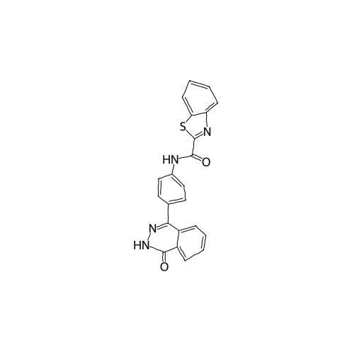 O=C(Nc1ccc(-c2n[nH]c(=O)c3ccccc23)cc1)c1nc2ccccc2s1